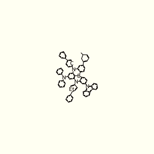 CC/C=C(\C=C/Cc1ccccc1)N1c2cc(-n3c4ccccc4c4ccccc43)ccc2B2c3ccc(C4=CC=CC(C)C4)cc3N(c3ccc(-c4ccccc4)cc3)c3cc(N(c4ccccc4)c4ccccc4)cc1c32